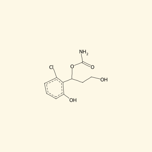 NC(=O)OC(CCO)c1c(O)cccc1Cl